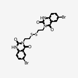 O=c1[nH]c2ccc(Br)cc2c(=O)n1CCSSCCn1c(=O)[nH]c2ccc(Br)cc2c1=O